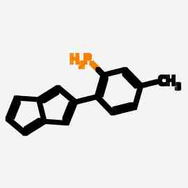 Cc1ccc(C2=CC3=CC=CC3=C2)c(P)c1